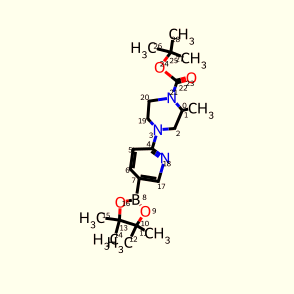 CC1CN(c2ccc(B3OC(C)(C)C(C)(C)O3)cn2)CCN1C(=O)OC(C)(C)C